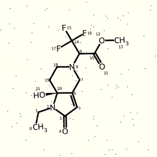 CCN1C(=O)C=C2CN(C(C(=O)OC)C(F)(F)F)CC[C@]21O